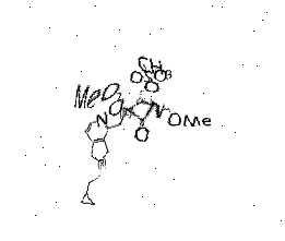 COCO[C@@]1(Cc2nccc3c2C[C@H](CCC2CC2)C3)C(=O)N(COC)[C@H]1COS(C)(=O)=O